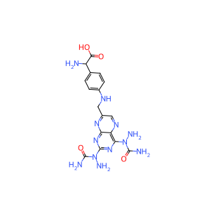 NC(=O)N(N)c1nc(N(N)C(N)=O)c2ncc(CNc3ccc(C(N)C(=O)O)cc3)nc2n1